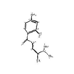 CCCCN(CCCC)C(CC)COC(=O)c1ccc(N)cc1Cl